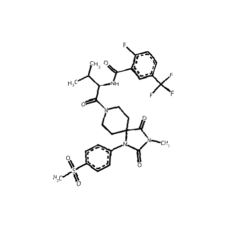 CC(C)[C@@H](NC(=O)c1cc(C(F)(F)F)ccc1F)C(=O)N1CCC2(CC1)C(=O)N(C)C(=O)N2c1ccc(S(C)(=O)=O)cc1